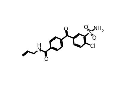 C=CCNC(=O)c1ccc(C(=O)c2ccc(Cl)c(S(N)(=O)=O)c2)cc1